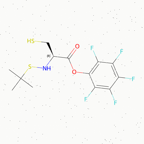 CC(C)(C)SN[C@@H](CS)C(=O)Oc1c(F)c(F)c(F)c(F)c1F